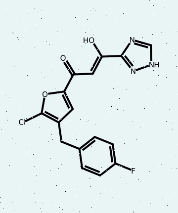 O=C(C=C(O)c1nc[nH]n1)c1cc(Cc2ccc(F)cc2)c(Cl)o1